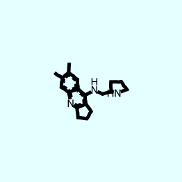 Cc1cc2nc3c(c(NCC4CCCN4)c2cc1C)CCC3